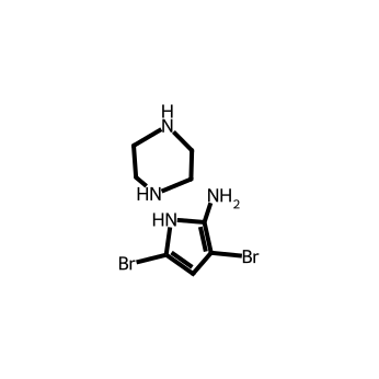 C1CNCCN1.Nc1[nH]c(Br)cc1Br